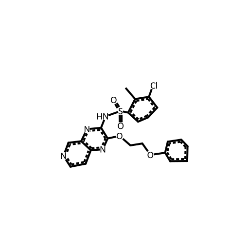 Cc1c(Cl)cccc1S(=O)(=O)Nc1nc2cnccc2nc1OCCOc1ccccc1